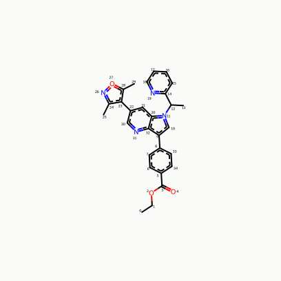 CCOC(=O)c1ccc(-c2cn(C(C)c3ccccn3)c3cc(-c4c(C)noc4C)cnc23)cc1